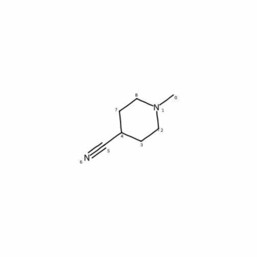 CN1[CH]CC(C#N)CC1